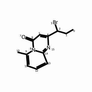 CCC(Br)c1cc(=O)n2c(C)cccc2n1